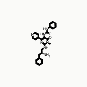 Cn1c(NC[C@@H](N)Cc2ccccc2)nc(-c2ccncc2)c(NC(=O)Nc2ccccc2)c1=O